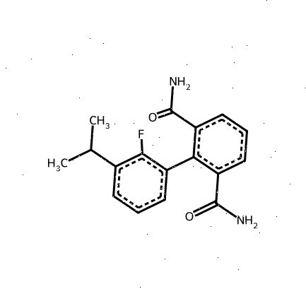 CC(C)c1cccc(-c2c(C(N)=O)cccc2C(N)=O)c1F